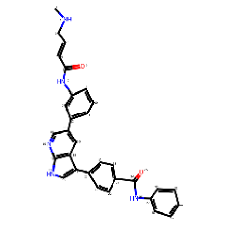 CNCC=CC(=O)Nc1cccc(-c2cnc3[nH]cc(-c4ccc(C(=O)Nc5ccccc5)cc4)c3c2)c1